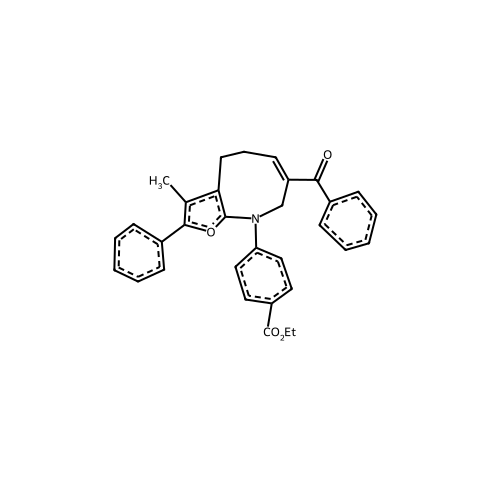 CCOC(=O)c1ccc(N2CC(C(=O)c3ccccc3)=CCCc3c2oc(-c2ccccc2)c3C)cc1